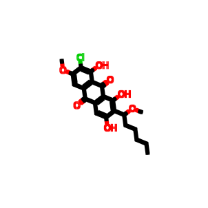 CCCCCC(OC)c1c(O)cc2c(c1O)C(=O)c1c(cc(OC)c(Cl)c1O)C2=O